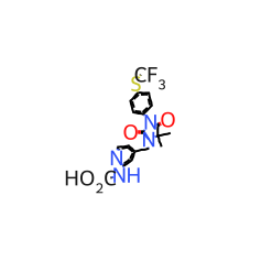 CC1(C)C(=O)N(c2ccc(SC(F)(F)F)cc2)C(=O)N1Cc1ccnc(NC(=O)O)c1